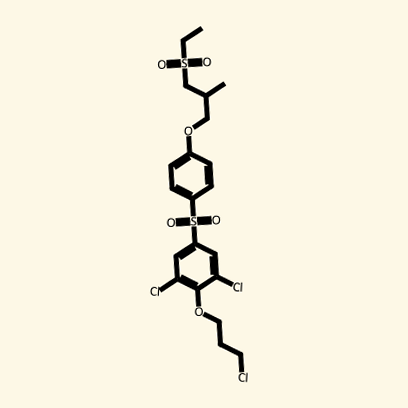 CCS(=O)(=O)CC(C)COc1ccc(S(=O)(=O)c2cc(Cl)c(OCCCCl)c(Cl)c2)cc1